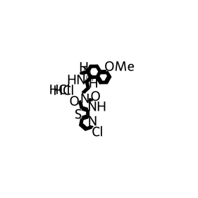 COc1cccc2c1CC[C@H]1CNC(CCn3c(=O)[nH]c4c(sc5ccc(Cl)nc54)c3=O)[C@@H]21.Cl.Cl